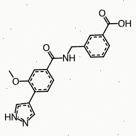 COc1cc(C(=O)NCc2cccc(C(=O)O)c2)ccc1-c1cn[nH]c1